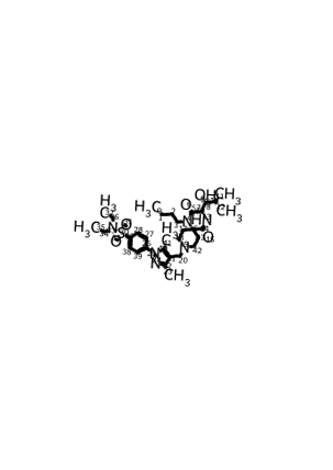 CCCCN1C(=O)[C@@H]([C@H](O)C(C)C)NC(=O)C12CCN(Cc1c(C)nn(-c3ccc(S(=O)(=O)N(CC)CC)cc3)c1C)CC2